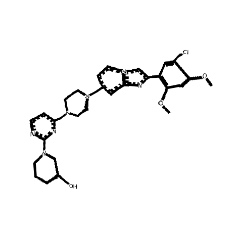 COC1=C(c2cn3ccc(N4CCN(c5ccnc(N6CCCC(O)C6)n5)CC4)cc3n2)C=C(Cl)C(OC)C1